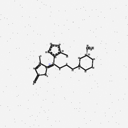 CC1=CC(=O)S/C1=C(\CCCN1CCC[C@@H](C(=O)O)C1)c1sccc1C